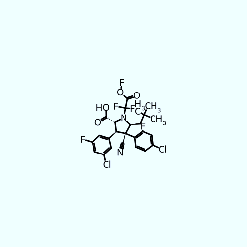 CC(C)(C)C[C@@H]1N(C(F)(F)C(=O)OF)[C@@H](C(=O)O)[C@H](c2cc(F)cc(Cl)c2)[C@@]1(C#N)c1ccc(Cl)cc1F